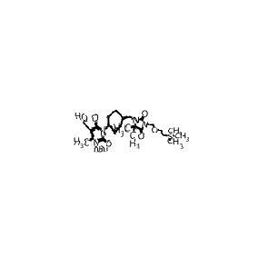 CCCCn1c(C)c(CO)c(=O)n(C2CCC(CN3C(=O)N(COCC[Si](C)(C)C)C(=O)C3(C)C)CC2)c1=O